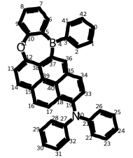 c1ccc(B2c3ccccc3Oc3ccc4ccc5c(N(c6ccccc6)c6ccccc6)ccc6cc2c3c4c65)cc1